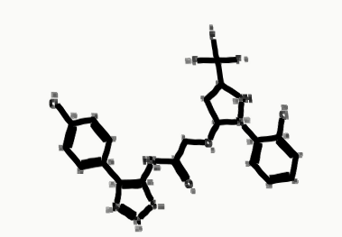 O=C(COC1CC(C(F)(F)F)NN1c1ccccc1Cl)Nc1snnc1-c1ccc(Cl)cc1